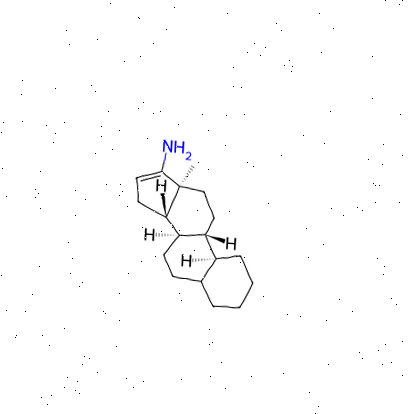 C[C@]12CC[C@H]3[C@@H](CCC4CCCC[C@@H]43)[C@@H]1CC=C2N